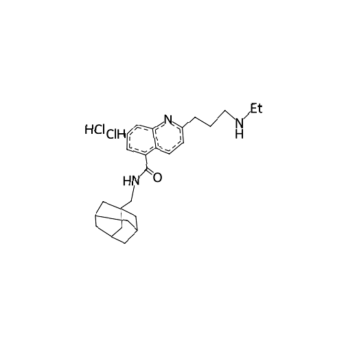 CCNCCCc1ccc2c(C(=O)NCC34CC5CC(CC(C5)C3)C4)cccc2n1.Cl.Cl